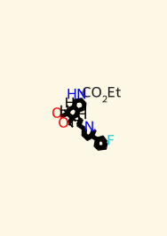 CCOC(=O)N[C@H]1CC[C@@H]2[C@H](C1)C[C@H]1C(=O)O[C@H](C)[C@H]1[C@@H]2/C=C/c1ccc(-c2cccc(F)c2)cn1